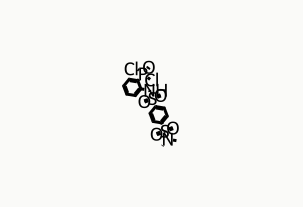 CN(C)S(=O)(=O)c1ccc(S(=O)(=O)Nc2ccccc2P(=O)(Cl)Cl)cc1